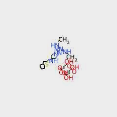 C=CCNc1nc(NCC=C)nc(N2CCC(NCc3cc4ccccc4s3)CC2)n1.O=C(O)C=CC(=O)O.O=C(O)C=CC(=O)O